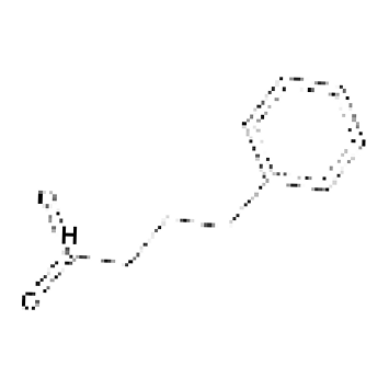 O=[SH](=O)CCCc1c[c]ccc1